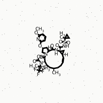 COc1cccc(O[C@@H]2C[C@H]3C(=O)N[C@]4(C(=O)NS(=O)(=O)C5(C)CC5)C[C@H]4C=CCC[C@@H](C)C[C@@H](C)[C@H](N(C(=O)O)C(C)(C)C(F)(F)F)C(=O)N3C2)n1